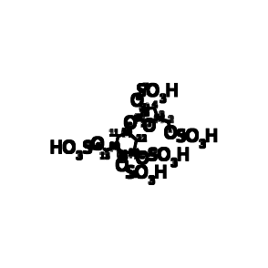 O=S(=O)(O)OC[C@@H]1C[C@H](OS(=O)(=O)O)[C@H](O[C@H]2C[C@H](COS(=O)(=O)O)[C@@H](OS(=O)(=O)O)[C@H](OS(=O)(=O)O)C2)O1